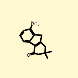 CC1(C)CC(=O)C2=C(Cc3c(N)cccc32)C1